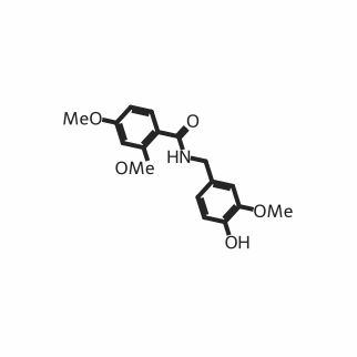 COc1ccc(C(=O)NCc2ccc(O)c(OC)c2)c(OC)c1